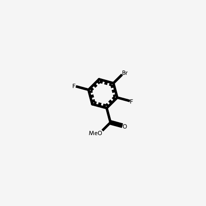 COC(=O)c1cc(F)cc(Br)c1F